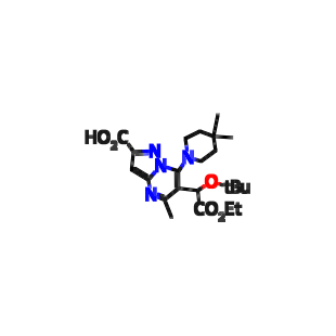 CCOC(=O)C(OC(C)(C)C)c1c(C)nc2cc(C(=O)O)nn2c1N1CCC(C)(C)CC1